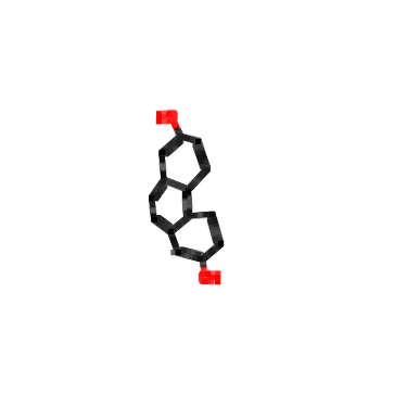 Oc1[c]c2ccc3cc(O)ccc3c2cc1